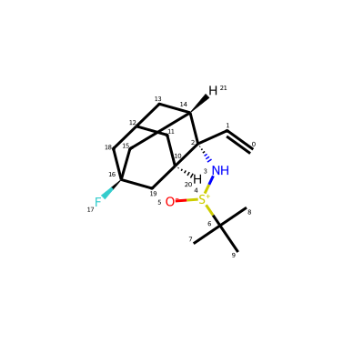 C=C[C@@]1(N[S+]([O-])C(C)(C)C)[C@@H]2CC3C[C@H]1C[C@@](F)(C3)C2